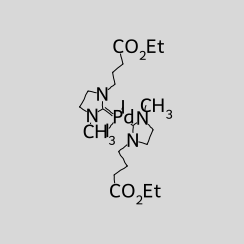 CCOC(=O)CCCN1CCN(C)[C]1=[Pd]([I])([I])=[C]1N(C)CCN1CCCC(=O)OCC